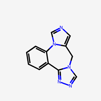 c1ccc2c(c1)-c1nncn1Cc1cncn1-2